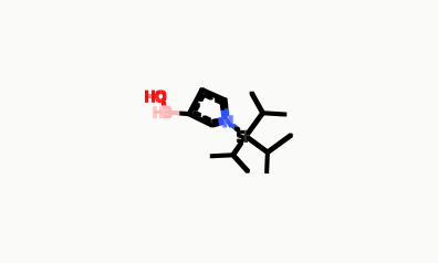 CC(C)[Si](C(C)C)(C(C)C)n1ccc(BO)c1